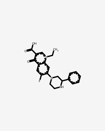 CCn1cc(C(=O)O)c(=O)c2cc(F)c(N3CCNC(c4ccccc4)C3)cc21